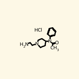 CC(=O)N(c1ccccc1)C1CCN(CCN)CC1.Cl